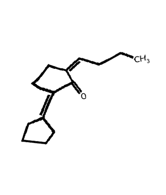 CCCC=C1CCC(=C2CCCC2)C1=O